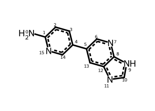 Nc1ccc(-c2cnc3[nH]cnc3c2)cn1